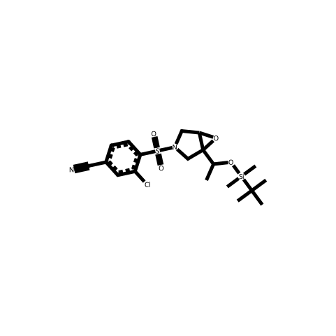 CC(O[Si](C)(C)C(C)(C)C)C12CN(S(=O)(=O)c3ccc(C#N)cc3Cl)CC1O2